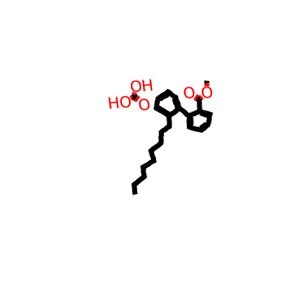 CCCCCCCCCc1ccccc1-c1ccccc1C(=O)OC.O=C(O)O